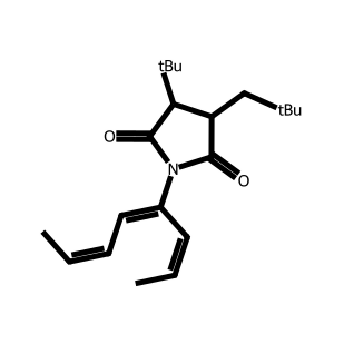 C\C=C/C=C(\C=C/C)N1C(=O)C(CC(C)(C)C)C(C(C)(C)C)C1=O